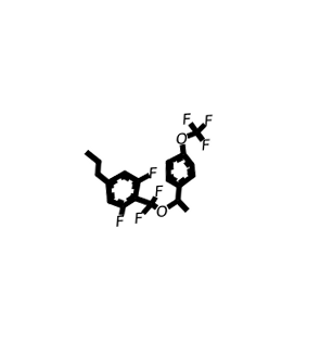 CCCc1cc(F)c(C(F)(F)OC(C)c2ccc(OC(F)(F)F)cc2)c(F)c1